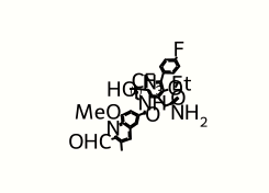 CCOc1c(CC(N)=O)cc([C@@](O)(CNC(=O)c2cc(OC)c3nc(C=O)c(C)cc3c2)C(F)(F)F)nc1-c1ccc(F)cc1